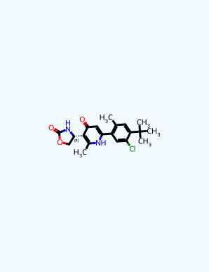 Cc1cc(C(C)(C)C)c(Cl)cc1-c1cc(=O)c([C@@H]2COC(=O)N2)c(C)[nH]1